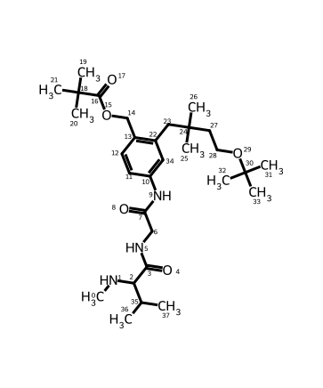 CNC(C(=O)NCC(=O)Nc1ccc(COC(=O)C(C)(C)C)c(CC(C)(C)CCOC(C)(C)C)c1)C(C)C